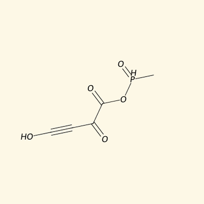 C[PH](=O)OC(=O)C(=O)C#CO